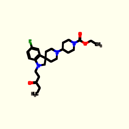 CCOC(=O)N1CCC(N2CCC3(CC2)CN(CCC(=O)CC)c2ccc(F)cc23)CC1